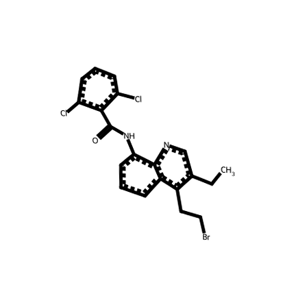 CCc1cnc2c(NC(=O)c3c(Cl)cccc3Cl)cccc2c1CCBr